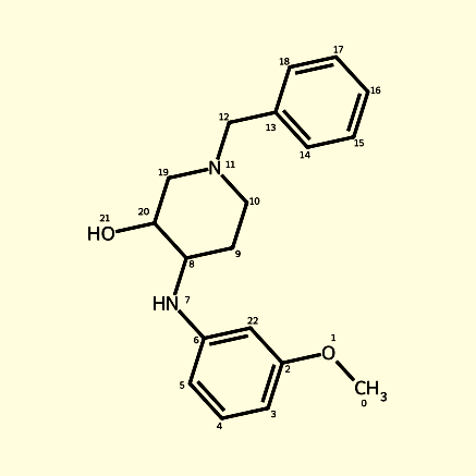 COc1cccc(NC2CCN(Cc3ccccc3)CC2O)c1